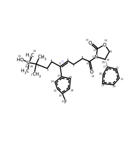 CC(C)(CC/C(=C/CCC(=O)N1C(=O)OC[C@@H]1c1ccccc1)c1ccc(F)cc1)[Si](C)(C)O